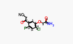 N#CCC(=O)c1cc(OCC(N)=O)c(Cl)cc1F